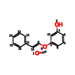 C=O.Oc1cccc(OC=Cc2ccccc2)c1